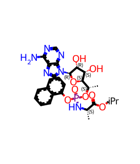 CC(C)OC(=O)[C@H](C)NP(=O)(Oc1cccc2ccccc12)O[C@@H](C)[C@H]1O[C@@H](n2cnc3c(N)ncnc32)[C@H](O)[C@@H]1O